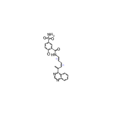 C=C(/C=C\C=C\NC(=O)c1cc(S(N)(=O)=O)ccc1Cl)c1ncnc2ccccc12